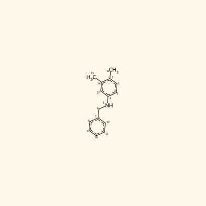 Cc1ccc(NCc2ccccc2)cc1C